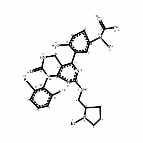 CCN1CCCC1CNc1nc(-c2cc(N(C(=O)C(F)(F)F)C(C)C)ccc2C)c2c(n1)N(c1c(F)cccc1F)C(=O)NC2